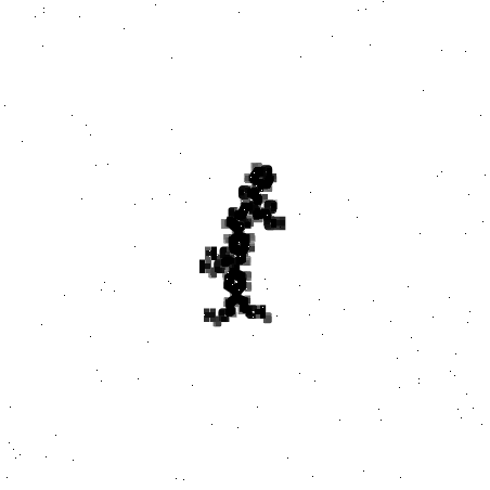 CCCC(CCC)c1ccc(N(Cc2ccc(-c3csc(CN(CC(=O)O)CC(=O)N4CCOCC4)n3)cc2)C(C)C)cc1